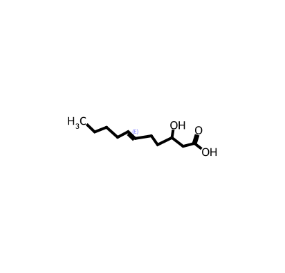 CCCC/C=C/CCC(O)CC(=O)O